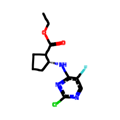 CCOC(=O)C1CCC[C@H]1Nc1nc(Cl)ncc1F